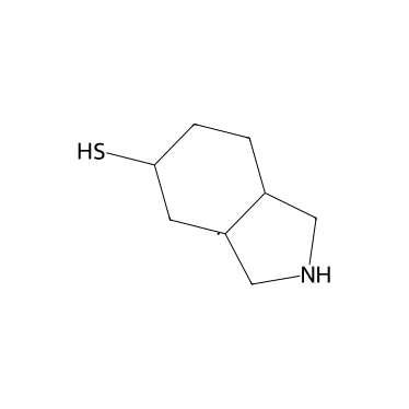 SC1CCC2CNC[C]2C1